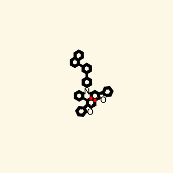 c1cc(-c2ccc(N(c3ccc4oc5ccccc5c4c3)c3ccccc3-c3cccc4oc5ccccc5c34)cc2)cc(-c2cccc3ccccc23)c1